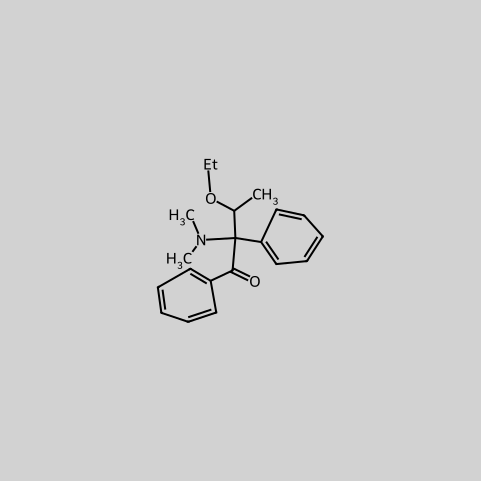 CCOC(C)C(C(=O)c1ccccc1)(c1ccccc1)N(C)C